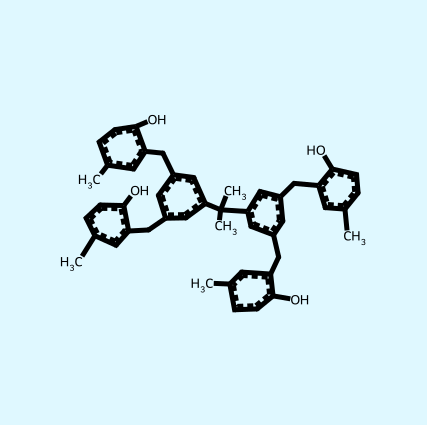 Cc1ccc(O)c(Cc2cc(Cc3cc(C)ccc3O)cc(C(C)(C)c3cc(Cc4cc(C)ccc4O)cc(Cc4cc(C)ccc4O)c3)c2)c1